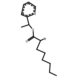 CCCCCCC(Br)C(=O)OC(C)c1ccccn1